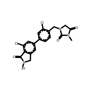 CC(C)N1Cc2cc(-c3ccc(CN4CC(=O)N(C)C4=O)c(Cl)c3)cc(Cl)c2C1=O